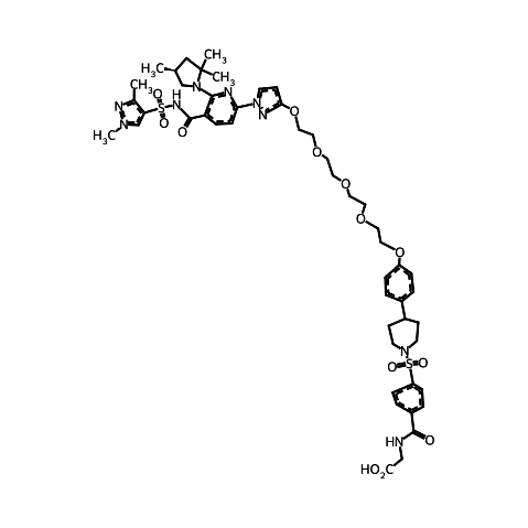 Cc1nn(C)cc1S(=O)(=O)NC(=O)c1ccc(-n2ccc(OCCOCCOCCOCCOc3ccc(C4CCN(S(=O)(=O)c5ccc(C(=O)NCC(=O)O)cc5)CC4)cc3)n2)nc1N1C[C@@H](C)CC1(C)C